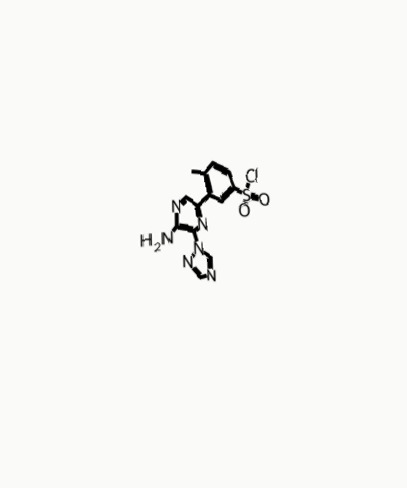 Cc1ccc(S(=O)(=O)Cl)cc1-c1cnc(N)c(-n2cncn2)n1